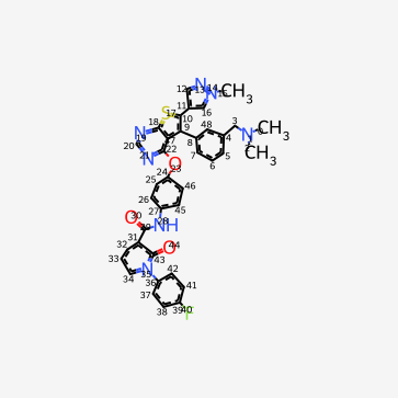 CN(C)Cc1cccc(-c2c(-c3cnn(C)c3)sc3ncnc(Oc4ccc(NC(=O)c5cccn(-c6ccc(F)cc6)c5=O)cc4)c23)c1